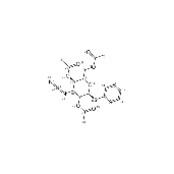 CC(=O)OCC1O[C@@H](Sc2ccccc2)C(OC(C)=O)C(N=[N+]=[N-])[C@H]1OC(C)=O